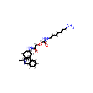 NCCCCCCCNC(=O)COCC(=O)NC1CC[C@H]2[C@H]3Cc4ccccc4[C@@]2(CCN3)C1